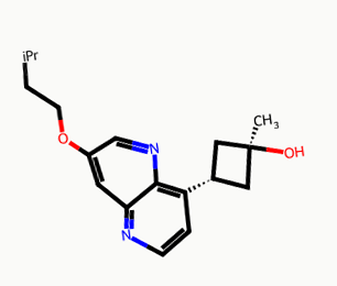 CC(C)CCOc1cnc2c(c1)nccc2[C@H]1C[C@](C)(O)C1